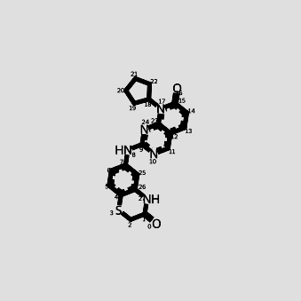 O=C1CSc2ccc(Nc3ncc4ccc(=O)n(C5CCCC5)c4n3)cc2N1